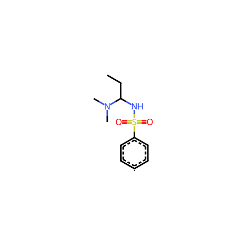 CCC(NS(=O)(=O)c1cc[c]cc1)N(C)C